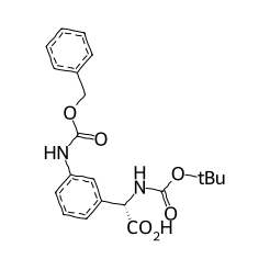 CC(C)(C)OC(=O)N[C@H](C(=O)O)c1cccc(NC(=O)OCc2ccccc2)c1